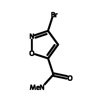 CNC(=O)c1cc(Br)no1